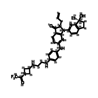 C=CCn1c(=O)c2cnc(Nc3ccc(NCCNC4CN(C(=O)C(F)(F)F)C4)cc3)nc2n1-c1ccc2c(n1)[C@](O)(CC)CC2